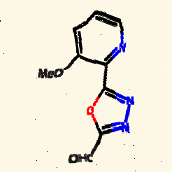 COc1cccnc1-c1nnc(C=O)o1